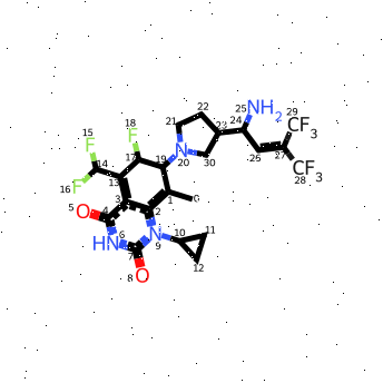 CC1=c2c(c(=O)[nH]c(=O)n2C2CC2)=C(C(F)F)C(F)C1N1CCC(C(N)C=C(C(F)(F)F)C(F)(F)F)C1